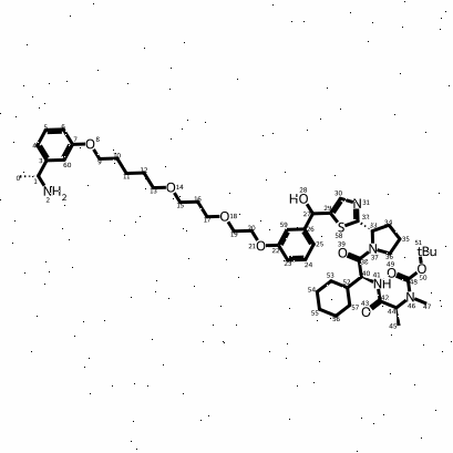 C[C@@H](N)c1cccc(OCCCCCOCCCOCCOc2cccc(C(O)c3cnc([C@@H]4CCCN4C(=O)[C@@H](NC(=O)[C@H](C)N(C)C(=O)OC(C)(C)C)C4CCCCC4)s3)c2)c1